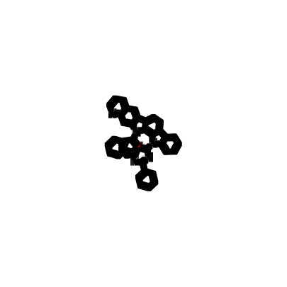 c1ccc(-c2nc(-c3ccccc3)nc(-n3c4ccccc4c4ccc5c6cc7cccnc7cc6n(-c6ccccc6)c5c43)n2)cc1